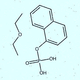 CCOCC.O=P(O)(O)Oc1cccc2ccccc12